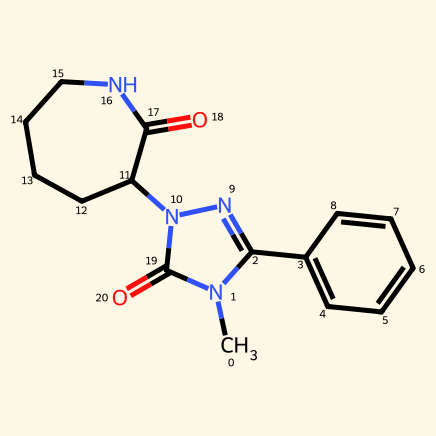 Cn1c(-c2ccccc2)nn(C2CCCCNC2=O)c1=O